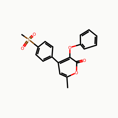 Cc1cc(-c2ccc(S(C)(=O)=O)cc2)c(Oc2ccccc2)c(=O)o1